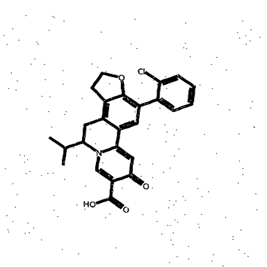 CC(C)C1Cc2c(cc(-c3ccccc3Cl)c3c2CCO3)-c2cc(=O)c(C(=O)O)cn21